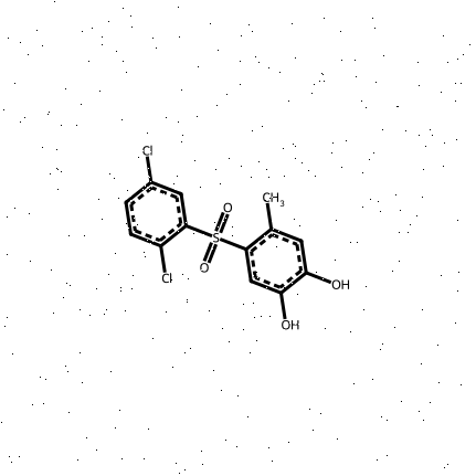 Cc1cc(O)c(O)cc1S(=O)(=O)c1cc(Cl)ccc1Cl